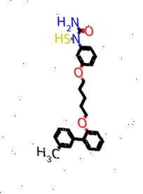 Cc1cccc(-c2ccccc2OCCCCCOc2cccc(N(S)C(N)=O)c2)c1